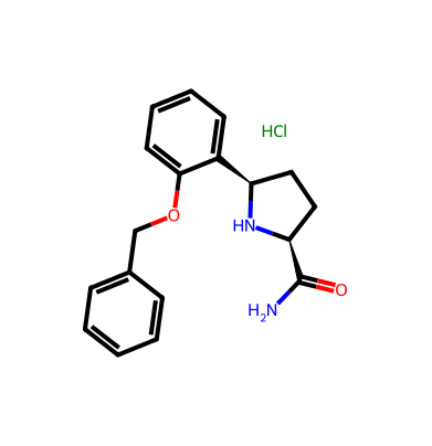 Cl.NC(=O)[C@@H]1CC[C@H](c2ccccc2OCc2ccccc2)N1